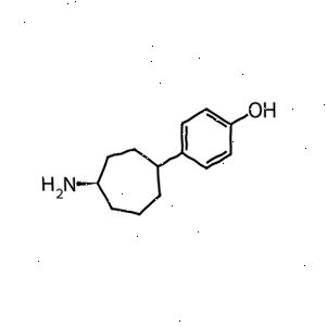 N[C@@H]1CCCC(c2ccc(O)cc2)CC1